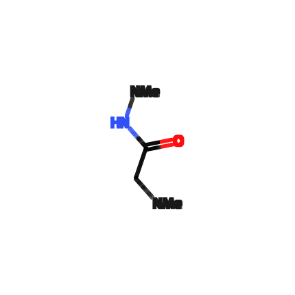 CNCC(=O)NNC